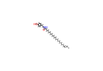 CCCCCCCCCCCCCCCCCCCCCC(=O)NCCc1ccc(O)cc1